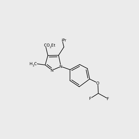 CCOC(=O)c1c(C)nn(-c2ccc(OC(F)F)cc2)c1CC(C)C